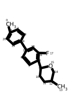 Cc1ccc(-c2ccc(C3CCC(C)CO3)c(F)c2)cc1